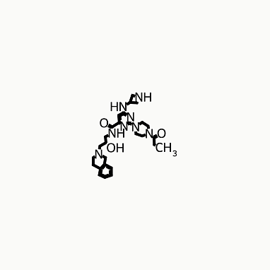 CCC(=O)N1CCN(c2nc(NC3CNC3)cc(C(=O)NCC(O)CN3CCc4ccccc4C3)n2)CC1